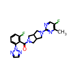 Cc1nc(N2CC3CN(C(=O)c4c(F)cccc4-n4nccn4)CC3C2)ncc1F